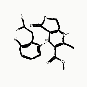 COC(=O)C1=C(C)NC2=C(C(=O)OC2)[C@H]1c1cccc(F)c1CC(F)F